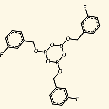 Fc1cccc(COB2OB(OCc3cccc(F)c3)OB(OCc3cccc(F)c3)O2)c1